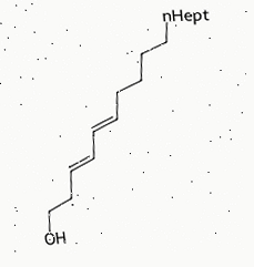 CCCCCCCCCCCC=CC=CCCO